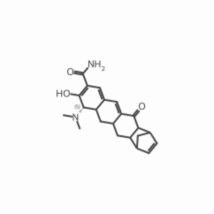 CN(C)[C@@H]1C(O)=C(C(N)=O)C=C2C=C3C(=O)C4C5C=CC(C5)C4CC3CC21